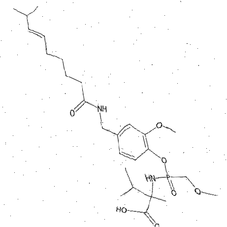 COCP(=O)(NC(C)(C(=O)O)C(C)C)Oc1ccc(CNC(=O)CCCC/C=C/C(C)C)cc1OC